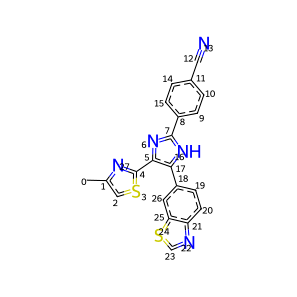 Cc1csc(-c2nc(-c3ccc(C#N)cc3)[nH]c2-c2ccc3ncsc3c2)n1